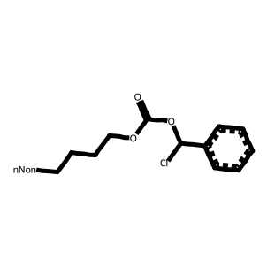 CCCCCCCCCCCCCOC(=O)OC(Cl)c1ccccc1